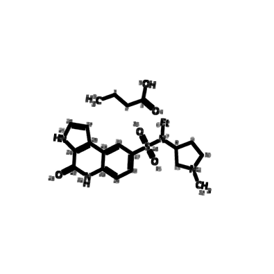 CCCC(=O)O.CCN(C1CCN(C)C1)S(=O)(=O)c1ccc2[nH]c(=O)c3[nH]ccc3c2c1